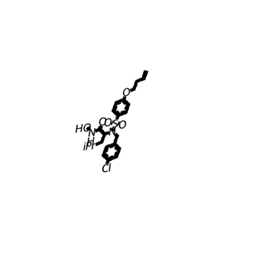 C=CCCOc1ccc(S(=O)(=O)N(Cc2ccc(Cl)cc2)C(CC(C)C)C(=O)NO)cc1